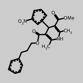 COC(=O)C1=C(C)NC(C)=C(C(=O)OCCCc2ccccc2)C1c1cccc([N+](=O)[O-])c1